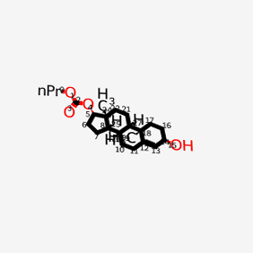 CCCOC(=O)O[C@H]1CC[C@H]2[C@@H]3CCC4=C[C@H](O)CC[C@]4(C)[C@H]3CC[C@]12C